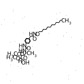 CCCCCCCCCCCCONC(=O)Cc1ccc(NC(=O)N[C@@H](C)[C@H]2O[C@H](O)[C@H]3OC(C)(C)O[C@@H]23)cc1